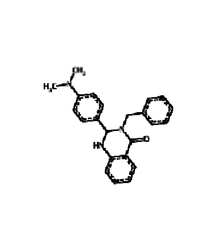 CN(C)c1ccc(C2Nc3ccccc3C(=O)N2Cc2ccccc2)cc1